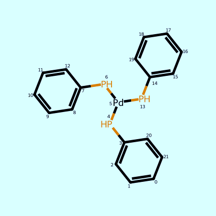 c1ccc([PH][Pd]([PH]c2ccccc2)[PH]c2ccccc2)cc1